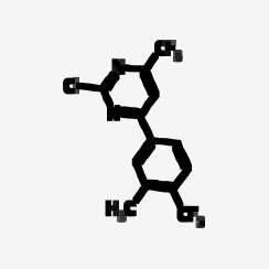 Cc1cc(-c2cc(C(F)(F)F)nc(Cl)n2)ccc1C(F)(F)F